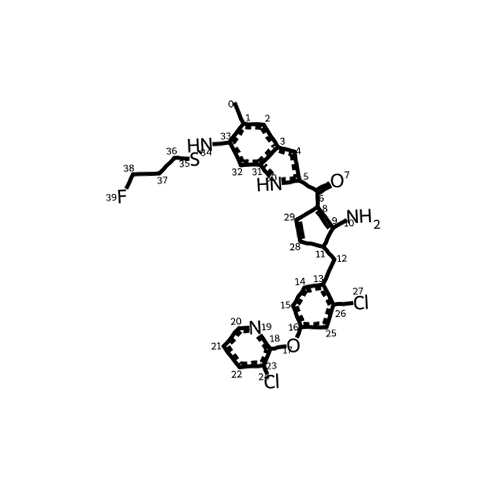 Cc1cc2cc(C(=O)C3=C(N)C(Cc4ccc(Oc5ncccc5Cl)cc4Cl)C=C3)[nH]c2cc1NSCCCF